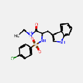 N#CCNC(=O)C(Cc1c[nH]c2ccccc12)NS(=O)(=O)c1ccc(Cl)cc1